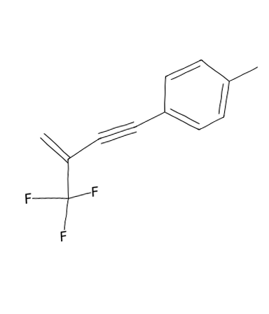 C=C(C#Cc1ccc(C)cc1)C(F)(F)F